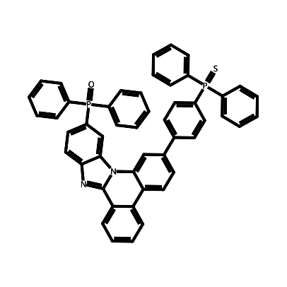 O=P(c1ccccc1)(c1ccccc1)c1ccc2nc3c4ccccc4c4ccc(-c5ccc(P(=S)(c6ccccc6)c6ccccc6)cc5)cc4n3c2c1